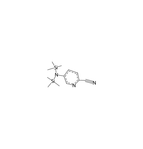 C[Si](C)(C)N(c1ccc(C#N)nc1)[Si](C)(C)C